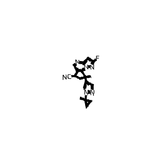 CC1(c2cnn(C3(C)CC3)c2)CC(C#N)c2cnc3cc(F)nn3c21